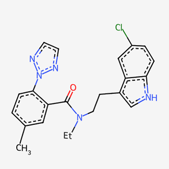 CCN(CCc1c[nH]c2ccc(Cl)cc12)C(=O)c1cc(C)ccc1-n1nccn1